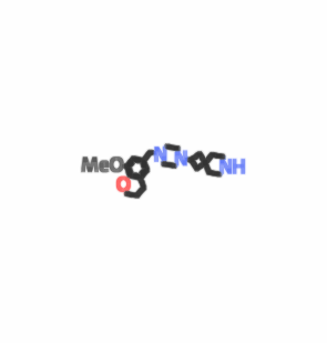 COc1cc(CN2CCN(C3CC4(CCNCC4)C3)CC2)cc2c1OCCC2